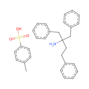 Cc1ccc(S(=O)(=O)O)cc1.NC(CCc1ccccc1)(Cc1ccccc1)Cc1ccccc1